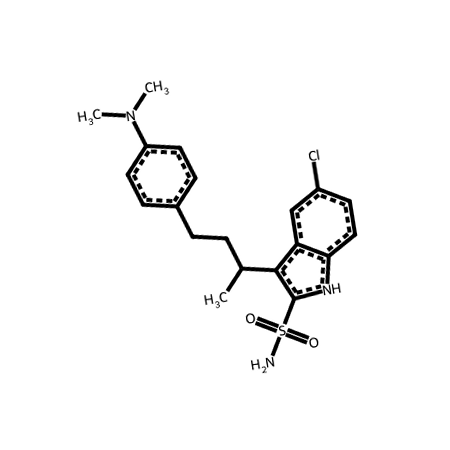 CC(CCc1ccc(N(C)C)cc1)c1c(S(N)(=O)=O)[nH]c2ccc(Cl)cc12